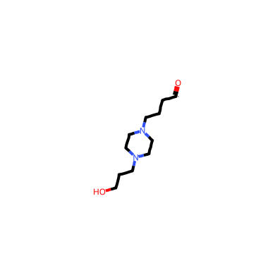 O=[C]CCCN1CCN(CCCO)CC1